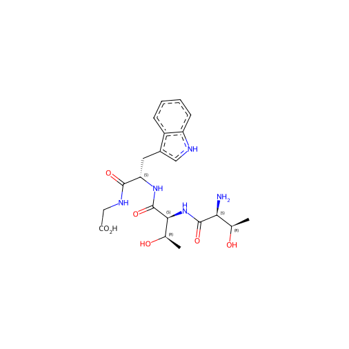 C[C@@H](O)[C@H](N)C(=O)N[C@H](C(=O)N[C@@H](Cc1c[nH]c2ccccc12)C(=O)NCC(=O)O)[C@@H](C)O